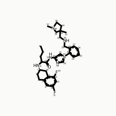 CCCC(N[C@H]1CCc2cc(F)cc(F)c2C1)C(=O)Nc1cn(-c2ccccc2CNCC2(C)CCN(C)C2)cn1